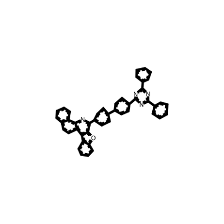 c1ccc(-c2nc(-c3ccccc3)nc(-c3ccc(-c4ccc(-c5nc6c7ccccc7ccc6c6c5oc5ccccc56)cc4)cc3)n2)cc1